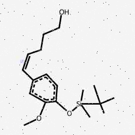 COc1cc(/C=C\CCCO)ccc1O[Si](C)(C)C(C)(C)C